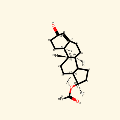 CCCC(=O)O[C@]1(C(C)=O)CCC2[C@@H]3CCC4=CC(=O)CC[C@]4(C)[C@H]3CC[C@@]21C